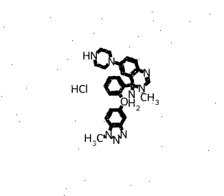 CN1C=Nc2ccc(N3CCNCC3)cc2C1(N)c1ccccc1Oc1ccc2c(c1)nnn2C.Cl